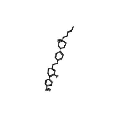 CC=CCC[Si@H]1CC[C@H](c2ccc(CCc3ccc(-c4ccc(CCC)cc4)c(F)c3)cc2)CC1